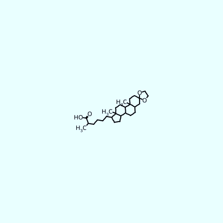 CC(CCCCC1CCC2C3CCC4CC5(CCC4(C)C3CCC12C)OCCO5)C(=O)O